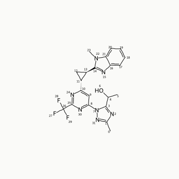 Cc1nc(C(C)O)n(-c2cc([C@@H]3C[C@H]3c3nc4ccccc4n3C)nc(C(F)(F)F)n2)n1